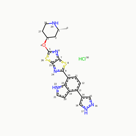 C[C@@H]1C[C@@H](Oc2nc3sc(-c4ccc(-c5cn[nH]c5)c5cc[nH]c45)nc3s2)CCN1.Cl